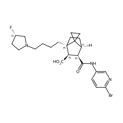 O=C(Nc1ccc(Br)nc1)[C@H]1[C@@H](C(=O)O)[C@@]2(CCCCN3CC[C@H](F)C3)CC[C@@H]1C21CC1